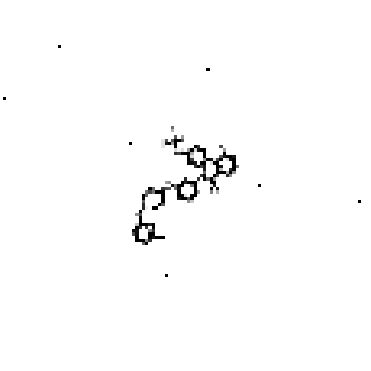 Cc1cccc(CN2CCC(Oc3cccc(NC(=O)c4cccc(C)c4-c4ccc(OC(F)(F)F)cc4)c3)CC2)n1